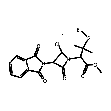 COC(=O)C(N1C(=O)C(N2C(=O)c3ccccc3C2=O)C1Cl)C(C)(C)SBr